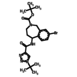 CC(C)(C)OC(=O)N1CCC(NC(=O)c2cn(C(C)(C)C)nn2)c2ccc(Br)cc2C1